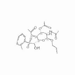 C=CCO[C@H]1O[C@H](C(O)S(=O)(=O)c2ccccc2C)[C@@H](OC(C)=O)[C@H](OC(C)=O)[C@@H]1NC(C)=O